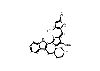 COC1=CC(c2[nH]c3ccccc3c2CN2CCOCC2)=N/C1=C\c1[nH]c(C)cc1C